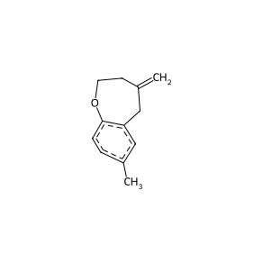 C=C1CCOc2ccc(C)cc2C1